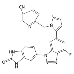 N#Cc1ccc(Cn2nccc2-c2cc(F)c3nnn(-c4ccc5[nH]c(=O)[nH]c5c4)c3c2)nc1